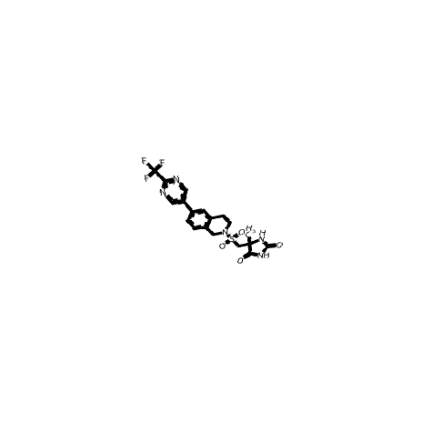 CC1(CS(=O)(=O)N2CCc3cc(-c4cnc(C(F)(F)F)nc4)ccc3C2)NC(=O)NC1=O